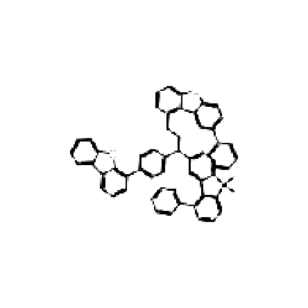 CC1(C)c2ccc(C(CCc3cccc4oc5ccc(-c6ccccc6)cc5c34)c3ccc(-c4cccc5c4oc4ccccc45)cc3)cc2-c2c(-c3ccccc3)cccc21